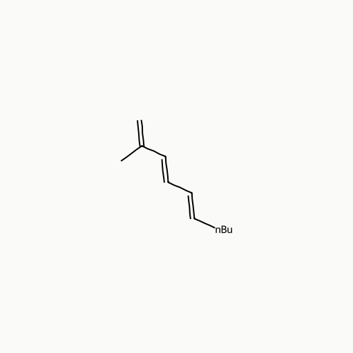 C=C(C)C=CC=CCCCC